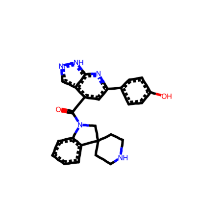 O=C(c1cc(-c2ccc(O)cc2)nc2[nH]ncc12)N1CC2(CCNCC2)c2ccccc21